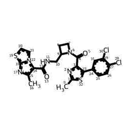 Cc1nc(C(=O)N2CCC2CNC(=O)c2c(C)nc3sccn23)c(-c2ccc(Cl)c(Cl)c2)s1